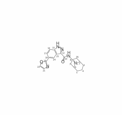 CN1C2CCCC1CC(NC(=O)c1n[nH]c3ccc(-c4ncco4)cc13)C2